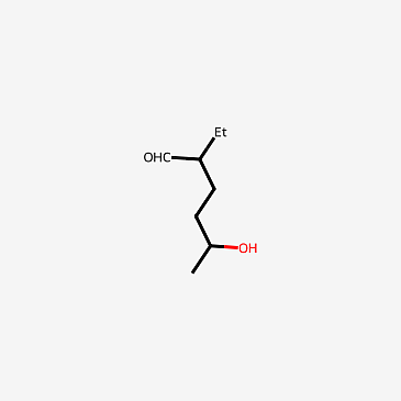 CCC(C=O)CCC(C)O